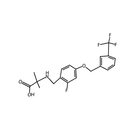 CC(C)(NCc1ccc(OCc2cccc(C(F)(F)F)c2)cc1F)C(=O)O